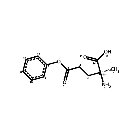 C[C@](N)(CCC(=O)Oc1ccccc1)C(=O)O